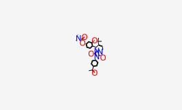 CC(=O)c1ccc(-n2c(=O)n3n(c2=O)C2C(=CC3)C(C)(C)Oc3cc(OC(=O)N(C)C)ccc32)cc1